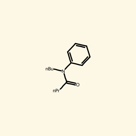 CCCCN(C(=O)CCC)c1ccccc1